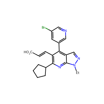 CCn1ncc2c(-c3cncc(Br)c3)c(C=CC(=O)O)c(C3CCCC3)nc21